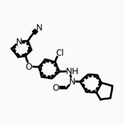 N#Cc1cc(Oc2ccc(NN(C=O)c3ccc4c(c3)CCC4)c(Cl)c2)ccn1